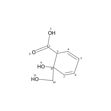 O=C(O)C1C=CC=CC1(O)CO